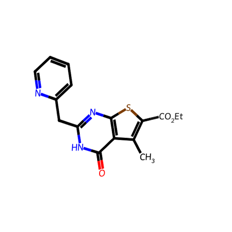 CCOC(=O)c1sc2nc(Cc3ccccn3)[nH]c(=O)c2c1C